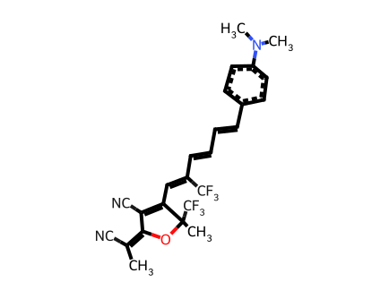 C/C(C#N)=C1\OC(C)(C(F)(F)F)C(/C=C(/C=C/C=C/c2ccc(N(C)C)cc2)C(F)(F)F)=C1C#N